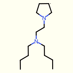 CCCCN(CCCC)CCN1C[CH]CC1